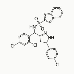 O=S(=O)(NC(C1=NNC(c2ccc(Cl)cc2)C1)c1ccc(Cl)cc1Cl)c1cc2ccccc2s1